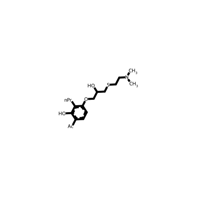 CCCc1c(OCC(O)CSCCN(C)C)ccc(C(C)=O)c1O